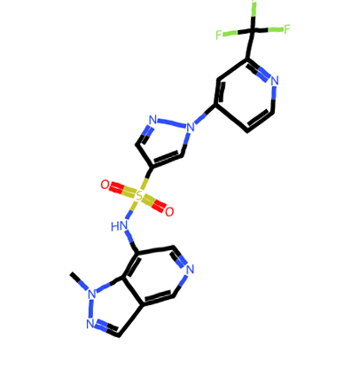 Cn1ncc2cncc(NS(=O)(=O)c3cnn(-c4ccnc(C(F)(F)F)c4)c3)c21